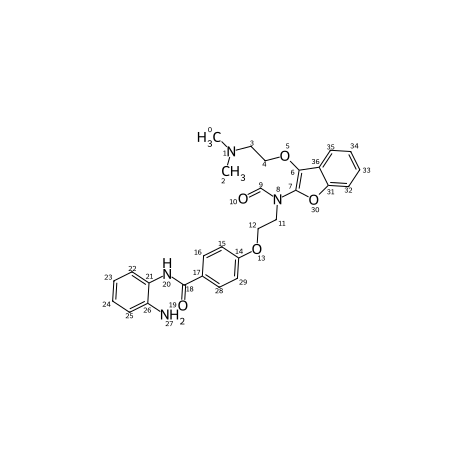 CN(C)CCOc1c(N(C=O)CCOc2ccc(C(=O)Nc3ccccc3N)cc2)oc2ccccc12